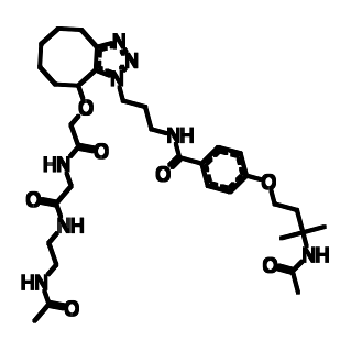 CC(=O)NCCNC(=O)CNC(=O)COC1CCCCCc2nnn(CCCNC(=O)c3ccc(OCCC(C)(C)NC(C)=O)cc3)c21